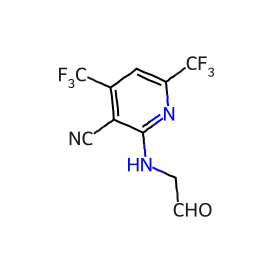 N#Cc1c(C(F)(F)F)cc(C(F)(F)F)nc1NCC=O